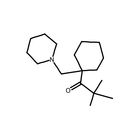 CC(C)(C)C(=O)C1(CN2CCCCC2)CCCCC1